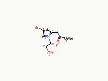 COC(=O)Cc1cc(Br)cn1CCO